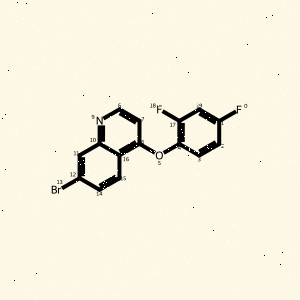 Fc1ccc(Oc2ccnc3cc(Br)ccc23)c(F)c1